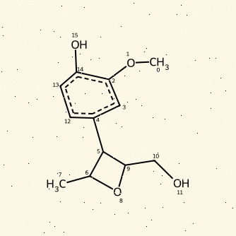 COc1cc(C2C(C)OC2CO)ccc1O